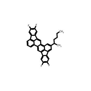 CCCCC(C)c1cc2c3cc(F)c(F)cc3c3cc4c(cc5c6cc(F)c(F)cc6c6cccc4c65)c(c1)c23